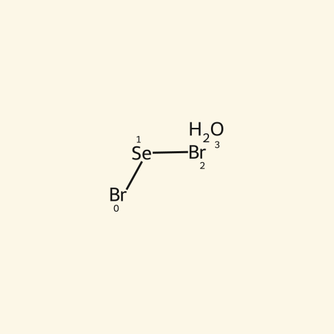 Br[Se]Br.O